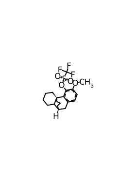 COc1ccc2c(c1OS(=O)(=O)C(F)(F)F)[C@@]13CCCCC1[C@H](CCC3)C2